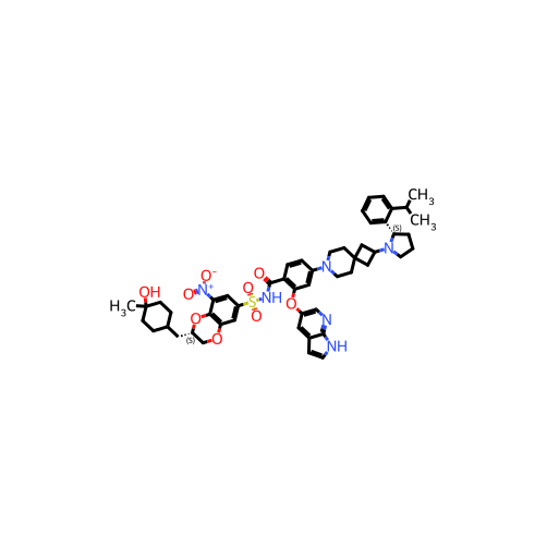 CC(C)c1ccccc1[C@@H]1CCCN1C1CC2(CCN(c3ccc(C(=O)NS(=O)(=O)c4cc5c(c([N+](=O)[O-])c4)O[C@@H](CC4CCC(C)(O)CC4)CO5)c(Oc4cnc5[nH]ccc5c4)c3)CC2)C1